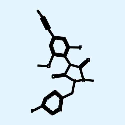 CC#Cc1cc(F)c(C2C(=O)N(C)N(Cc3ccc(F)cn3)C2=O)c(OC)c1